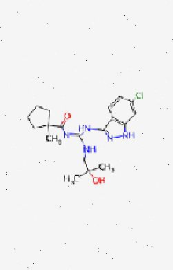 CC(C)(O)CN/C(=N/C(=O)C1(C)CCCC1)Nc1n[nH]c2cc(Cl)ccc12